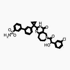 NS(=O)(=O)c1cccc(-c2cccc(C3(c4nc5c(c(=O)[nH]4)CN(C(=O)[C@H](O)c4cccc(Cl)c4)CCC5)CC3)c2)c1